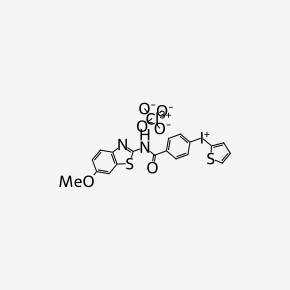 COc1ccc2nc(NC(=O)c3ccc([I+]c4cccs4)cc3)sc2c1.[O-][Cl+3]([O-])([O-])[O-]